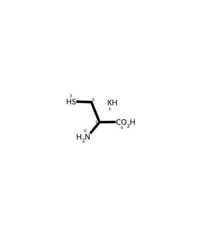 NC(CS)C(=O)O.[KH]